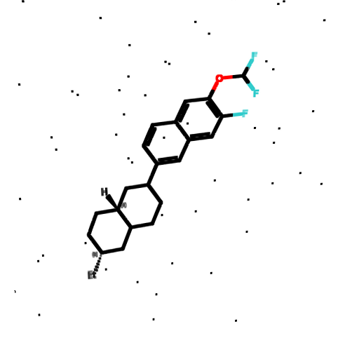 CC[C@@H]1CC[C@@H]2CC(c3ccc4cc(OC(F)F)c(F)cc4c3)CCC2C1